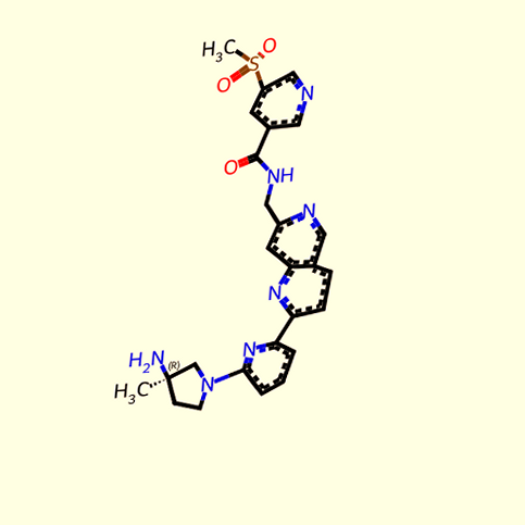 C[C@@]1(N)CCN(c2cccc(-c3ccc4cnc(CNC(=O)c5cncc(S(C)(=O)=O)c5)cc4n3)n2)C1